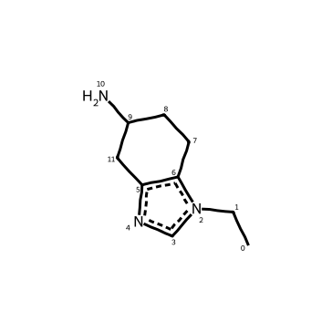 CCn1cnc2c1CCC(N)C2